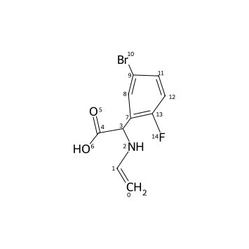 C=CNC(C(=O)O)c1cc(Br)ccc1F